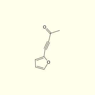 CC(=O)C#Cc1ccco1